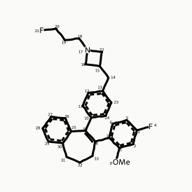 COc1cc(F)ccc1C1=C(c2ccc(CC3CN(CCCF)C3)cc2)c2ccccc2CCC1